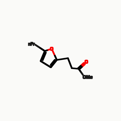 CCCc1ccc(CCC(=O)OC)o1